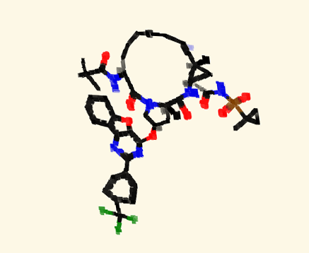 CC(C)(C)C(=O)N[C@H]1CCCCC/C=C\[C@@H]2C[C@@]2(C(=O)NS(=O)(=O)C2(C)CC2)NC(=O)[C@@H]2C[C@@H](Oc3nc(-c4ccc(C(F)(F)F)cc4)nc4c3oc3ccccc34)CN2C1=O